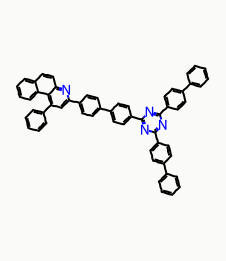 c1ccc(-c2ccc(-c3nc(-c4ccc(-c5ccccc5)cc4)nc(-c4ccc(-c5ccc(-c6cc(-c7ccccc7)c7c(ccc8ccccc87)n6)cc5)cc4)n3)cc2)cc1